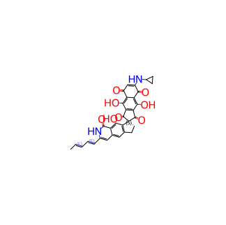 C/C=C/C=C/c1cc2cc3c(c(O)c2c(=O)[nH]1)[C@@]1(CC3)C(=O)c2c(O)c3c(c(O)c2C1=O)C(=O)C(NC1CC1)=CC3=O